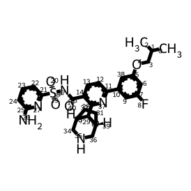 CC(C)COc1cc(F)cc(-c2ccc(C(=O)NS(=O)(=O)c3cccc(N)n3)c(C3[C@@H]4CC[C@H]3CNC4)n2)c1